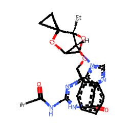 CC[C@]12O[C@@H](n3cnc4c(=O)[nH]c(NC(=O)C(C)C)nc43)C(OC13CC3)[C@H]2OCc1ccccc1